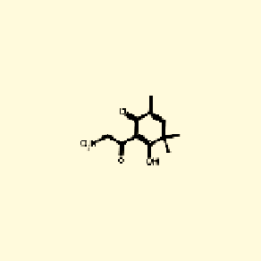 CC1=CC(C)(C)C(O)=C(C(=O)C[N+](=O)[O-])C1=O